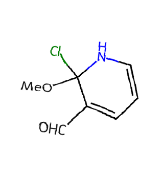 COC1(Cl)NC=CC=C1C=O